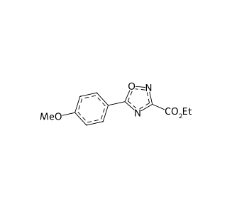 CCOC(=O)c1noc(-c2ccc(OC)cc2)n1